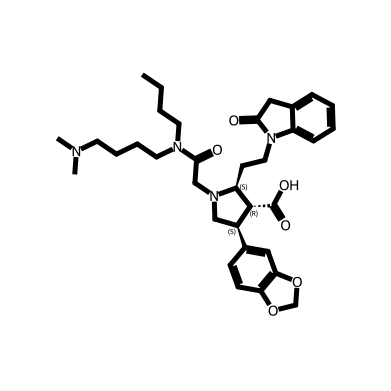 CCCCN(CCCCN(C)C)C(=O)CN1C[C@H](c2ccc3c(c2)OCO3)[C@@H](C(=O)O)[C@@H]1CCN1C(=O)Cc2ccccc21